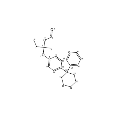 CCC(C)(OC=O)Oc1ccc(C2(c3ccccc3)CCCCC2)cc1